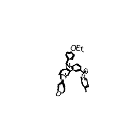 CCOc1ccc(Cn2c3c(c4cc(C(=O)N5CCC(C)CC5)ccc42)CN(C2CCOCC2)CC3)cc1